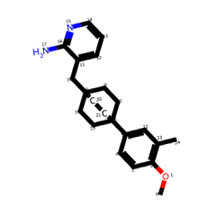 COc1ccc(C23CCC(Cc4cccnc4N)(CC2)CC3)cc1C